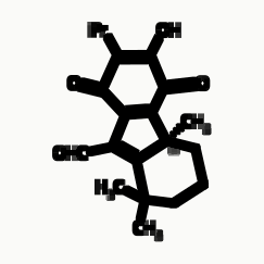 CC(C)C1=C(O)C(=O)C2=C(C1=O)C(C=O)=C1C(C)(C)CCC[C@]21C